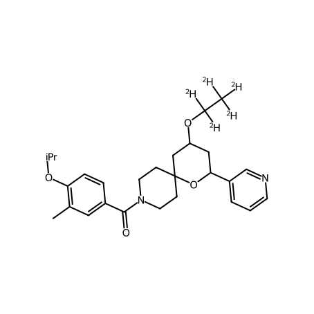 [2H]C([2H])([2H])C([2H])([2H])OC1CC(c2cccnc2)OC2(CCN(C(=O)c3ccc(OC(C)C)c(C)c3)CC2)C1